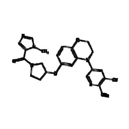 COc1ncc(N2CCOc3ccc(OC4CCN(C(=O)c5cncn5C)C4)cc32)cc1C#N